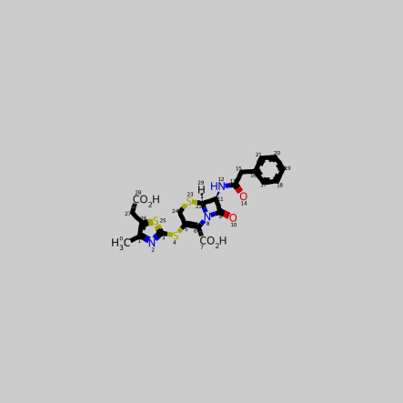 Cc1nc(SC2=C(C(=O)O)N3C(=O)[C@@H](NC(=O)Cc4ccccc4)[C@@H]3SC2)sc1CC(=O)O